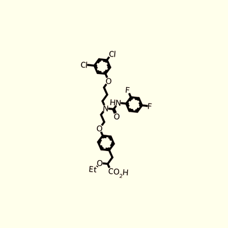 CCOC(Cc1ccc(OCCN(CCCOc2cc(Cl)cc(Cl)c2)C(=O)Nc2ccc(F)cc2F)cc1)C(=O)O